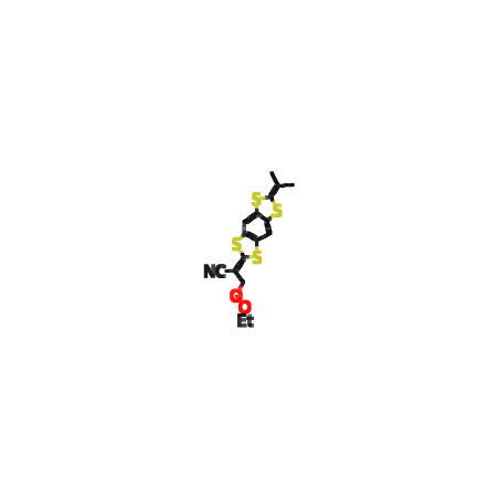 CCOOCC(C#N)=C1Sc2cc3c(cc2S1)SC(=C(C)C)S3